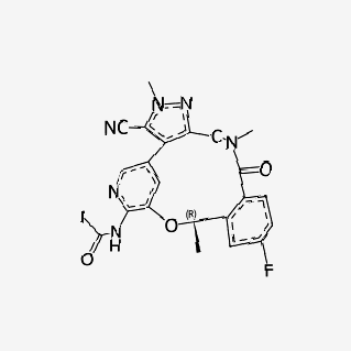 C[C@H]1Oc2cc(cnc2NC(=O)I)-c2c(nn(C)c2C#N)CN(C)C(=O)c2ccc(F)cc21